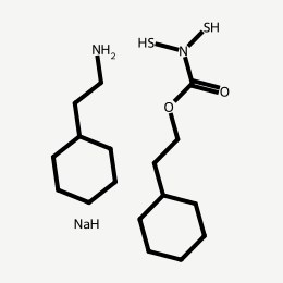 NCCC1CCCCC1.O=C(OCCC1CCCCC1)N(S)S.[NaH]